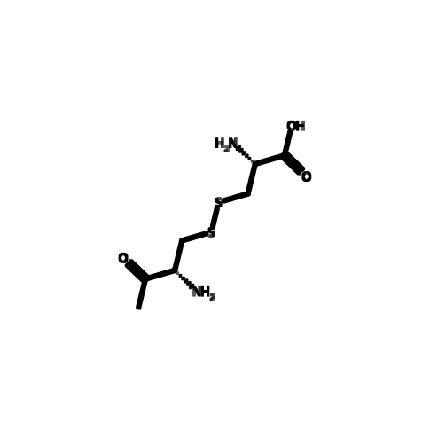 CC(=O)[C@@H](N)CSSC[C@H](N)C(=O)O